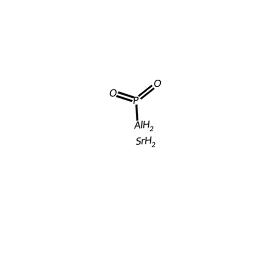 O=[P](=O)[AlH2].[SrH2]